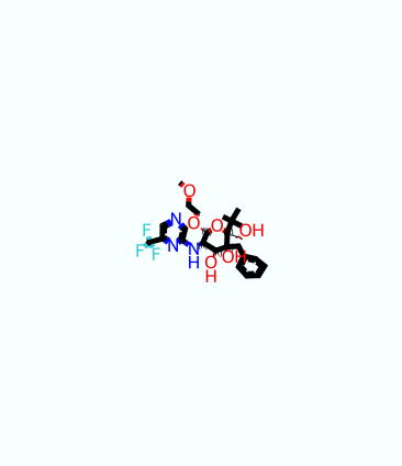 COCCO[C@@H]1O[C@@](CO)(C(C)(C)C)[C@@](O)(Cc2ccccc2)[C@H](O)[C@H]1Nc1cncc(C(F)(F)F)n1